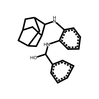 OC(Nc1ccccc1NC1C2CC3CC(C2)CC1C3)c1ccccc1